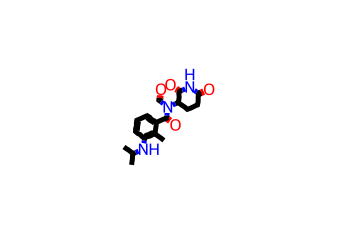 Cc1c(NC(C)C)cccc1C(=O)N(C=O)C1CCC(=O)NC1=O